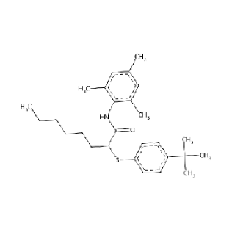 CCCCCCC(Sc1ccc(C(C)(C)C)cc1)C(=O)Nc1c(C)cc(C)cc1C